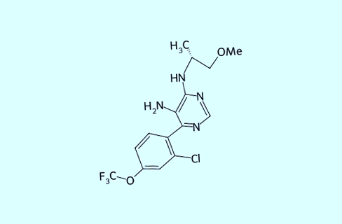 COC[C@@H](C)Nc1ncnc(-c2ccc(OC(F)(F)F)cc2Cl)c1N